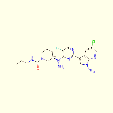 CCCNC(=O)N1CCC[C@@H](N(N)c2nc(-c3cn(N)c4ncc(Cl)cc34)ncc2F)C1